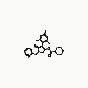 Cc1cc(C)c(C2=C(OC(=O)C3CCCCC3)CC(Cc3ccccn3)C2=O)c(C)c1